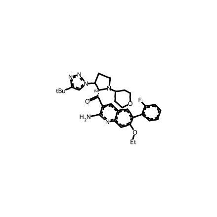 CCOc1cc2nc(N)c(C(=O)[C@@H]3C(n4cc(C(C)(C)C)nn4)CCN3C3CCOCC3)cc2cc1-c1ccccc1F